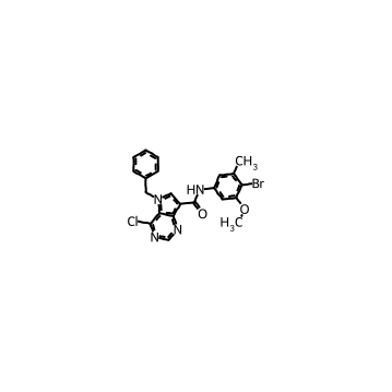 COc1cc(NC(=O)c2cn(Cc3ccccc3)c3c(Cl)ncnc23)cc(C)c1Br